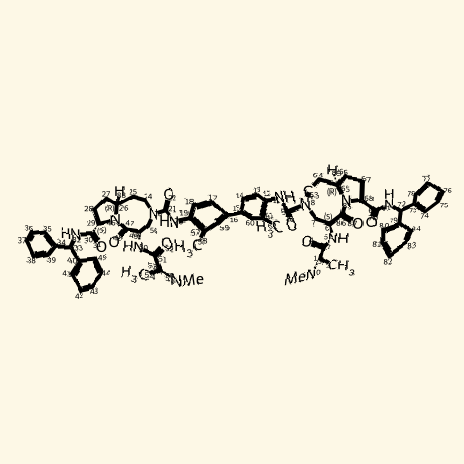 CN[C@@H](C)C(=O)N[C@H]1CN(C(=O)Nc2ccc(-c3ccc(NC(=O)N4CC[C@H]5CC[C@@H](C(=O)NC(c6ccccc6)c6ccccc6)N5C(=O)[C@@H](NC(=O)[C@H](C)NC)C4)c(C)c3)cc2C)CC[C@H]2CCC(C(=O)NC(c3ccccc3)c3ccccc3)N2C1=O